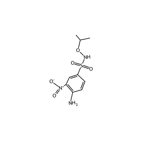 CC(C)ONS(=O)(=O)c1ccc(N)c([N+](=O)[O-])c1